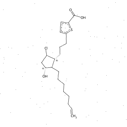 C=CCCCCCCC1[C@@H](CCCc2ccc(C(=O)O)s2)C(Cl)C[C@H]1O